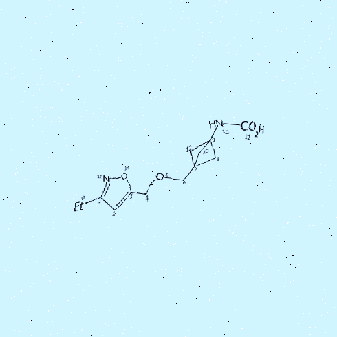 CCc1cc(COCC23CC(NC(=O)O)(C2)C3)on1